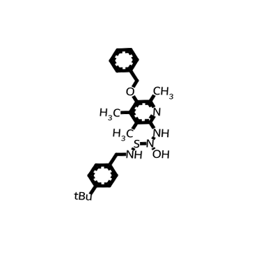 Cc1nc(NN(O)SNCc2ccc(C(C)(C)C)cc2)c(C)c(C)c1OCc1ccccc1